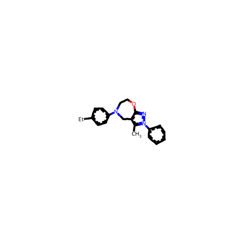 CCc1ccc(N2CCOc3nn(-c4ccccc4)c(C)c3C2)cc1